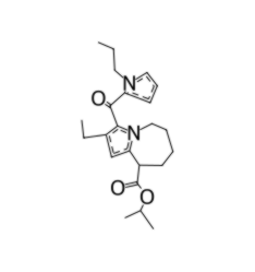 CCCn1cccc1C(=O)c1c(CC)cc2n1CCCCC2C(=O)OC(C)C